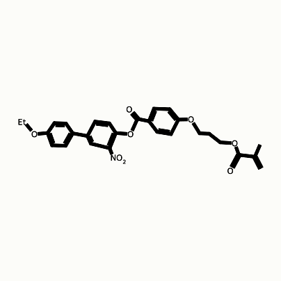 C=C(C)C(=O)OCCCOc1ccc(C(=O)Oc2ccc(-c3ccc(OCC)cc3)cc2[N+](=O)[O-])cc1